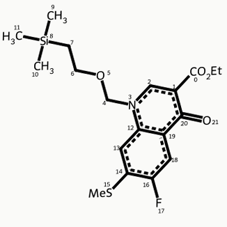 CCOC(=O)c1cn(COCC[Si](C)(C)C)c2cc(SC)c(F)cc2c1=O